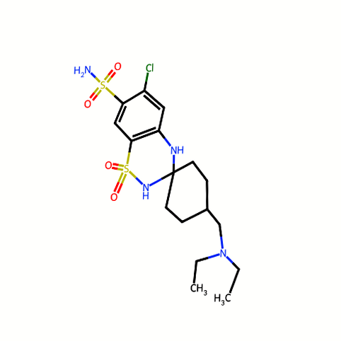 CCN(CC)CC1CCC2(CC1)Nc1cc(Cl)c(S(N)(=O)=O)cc1S(=O)(=O)N2